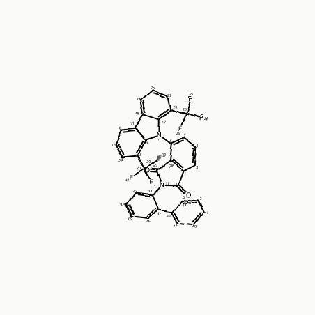 O=C1c2cccc(-n3c4c(C(F)(F)F)cccc4c4cccc(C(F)(F)F)c43)c2C(=O)N1c1ccccc1-c1ccccc1